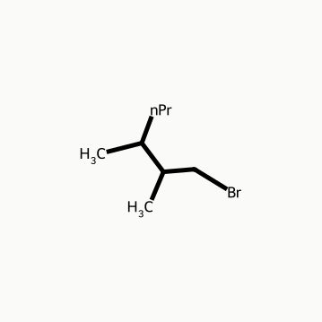 CCCC(C)C(C)CBr